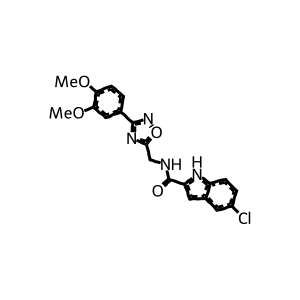 COc1ccc(-c2noc(CNC(=O)c3cc4cc(Cl)ccc4[nH]3)n2)cc1OC